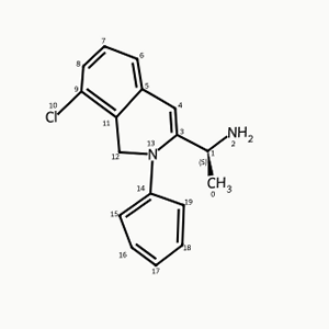 C[C@H](N)C1=Cc2cccc(Cl)c2CN1c1ccccc1